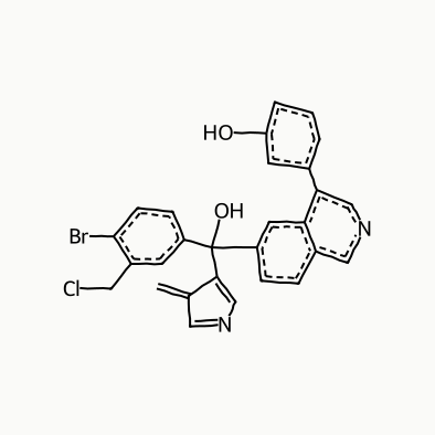 C=C1C=NC=C1C(O)(c1ccc(Br)c(CCl)c1)c1ccc2cncc(-c3cccc(O)c3)c2c1